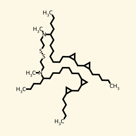 CCCCCC1CC1CC1CC1CCCCCCCC(CCCC)N(C)CCSSCCN(C)C(CCCC)CCCCCCCC1CC1CC1CC1CCCCC